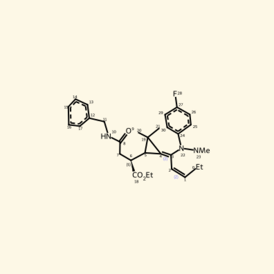 CC/C=C\C(=C1/C([C@H](CC(=O)NCc2ccccc2)C(=O)OCC)C1(C)C)N(NC)c1ccc(F)cc1